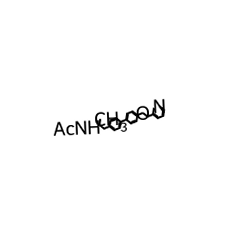 CC(=O)NC(C)Cc1ccc(-c2ccc(OCc3cccnc3)cc2)cc1